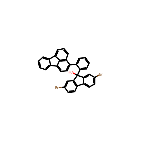 OC1(c2ccccc2-c2ccc3c4c(cccc24)-c2ccccc2-3)c2cc(Br)ccc2-c2ccc(Br)cc21